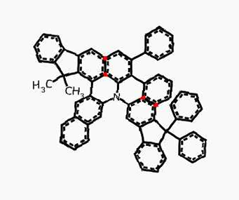 CC1(C)c2ccccc2-c2cccc(-c3cc4ccccc4cc3N(c3ccc4c(c3)-c3ccccc3C4(c3ccccc3)c3ccccc3)c3cccc(-c4ccccc4)c3-c3ccccc3)c21